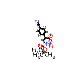 CC(C)(C)OC(=O)NCC(C(=O)O)c1ccc(C#N)cc1